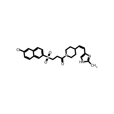 Cc1nc(/C=C\C2CCN(C(=O)CCS(=O)(=O)c3ccc4cc(Cl)ccc4c3)CC2)c[nH]1